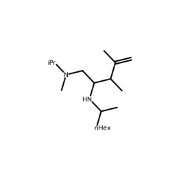 C=C(C)C(C)C(CN(C)C(C)C)NC(C)CCCCCC